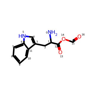 NC(Cc1c[nH]c2ccccc12)C(=O)OC=O